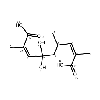 CC(=CC(C)CC(O)(O)C=C(C)C(=O)O)C(=O)O